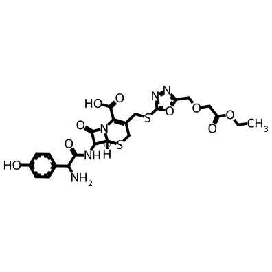 CCOC(=O)COCc1nnc(SCC2=C(C(=O)O)N3C(=O)C(NC(=O)C(N)c4ccc(O)cc4)[C@H]3SC2)o1